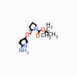 CC(C)(C)OC(=O)N1CCC[C@H]1COc1ccc(N)nc1